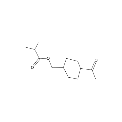 CC(=O)C1CCC(COC(=O)C(C)C)CC1